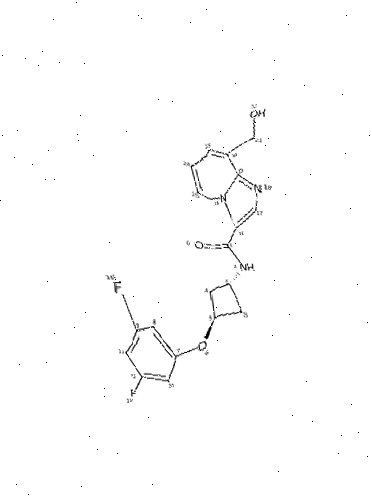 O=C(N[C@H]1C[C@H](Oc2cc(F)cc(F)c2)C1)c1cnc2c(CO)cccn12